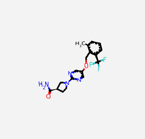 Cc1cccc(C(F)(F)F)c1COc1cnc(N2CC[C@@H](C(N)=O)C2)nc1